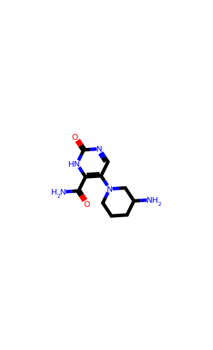 NC(=O)c1[nH]c(=O)ncc1N1CCCC(N)C1